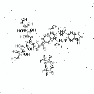 CCn1c(CNC(=O)c2nc3cc[nH]c3nc2N)[n+](CC)c2ccc(C(=O)N3CC[C@H](N(C[C@H](O)[C@@H](O)[C@H](O)[C@H](O)CO)C[C@H](O)[C@@H](O)[C@H](O)[C@H](O)CO)C3)cc21.O=C(O)C(F)(F)F.O=C([O-])C(F)(F)F